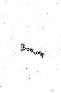 CCOC(=O)C(C)(C)Oc1ccc(OCCc2nc(-c3ccc(-c4cc(C(F)(F)F)cc(C(F)(F)F)c4)cc3)oc2C)cc1